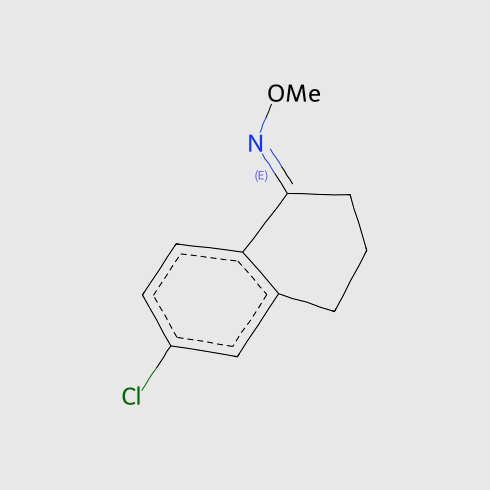 CO/N=C1\CCCc2cc(Cl)ccc21